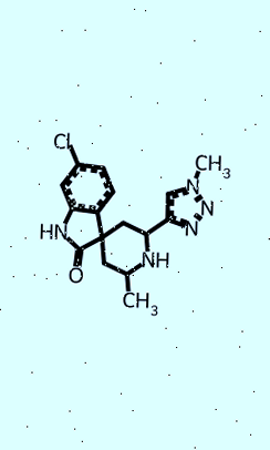 CC1CC2(CC(c3cn(C)nn3)N1)C(=O)Nc1cc(Cl)ccc12